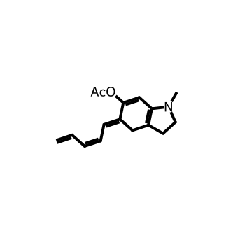 C=C/C=C\C=C1/CC2=C(C=C1OC(C)=O)N(C)CC2